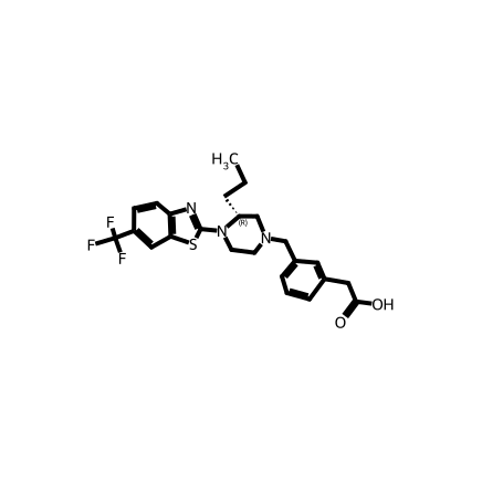 CCC[C@@H]1CN(Cc2cccc(CC(=O)O)c2)CCN1c1nc2ccc(C(F)(F)F)cc2s1